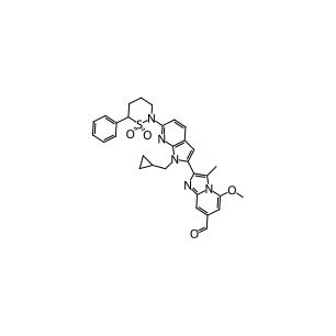 COc1cc(C=O)cc2nc(-c3cc4ccc(N5CCCC(c6ccccc6)S5(=O)=O)nc4n3CC3CC3)c(C)n12